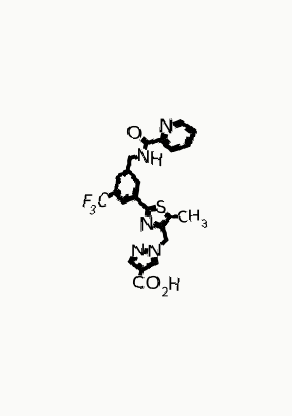 Cc1sc(-c2cc(CNC(=O)c3ccccn3)cc(C(F)(F)F)c2)nc1Cn1cc(C(=O)O)cn1